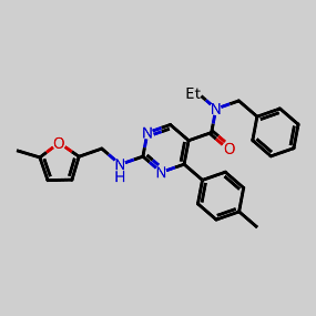 CCN(Cc1ccccc1)C(=O)c1cnc(NCc2ccc(C)o2)nc1-c1ccc(C)cc1